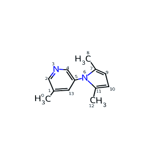 Cc1cncc(-n2c(C)ccc2C)c1